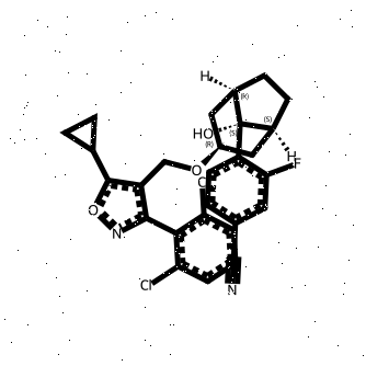 N#Cc1ccc([C@@]2(O)[C@@H]3CC[C@H]2C[C@@H](OCc2c(-c4c(Cl)cccc4Cl)noc2C2CC2)C3)c(F)c1